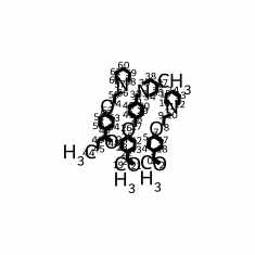 CC(=O)c1ccc(OCCCN2CC=CCC2)cc1.CC(=O)c1ccc(OCc2ccc(CN3CCC(C)CC3)cc2)cc1.CCCC(=O)c1ccc(OCCCN2CCCCC2)cc1